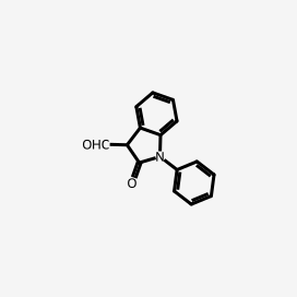 O=CC1C(=O)N(c2ccccc2)c2ccccc21